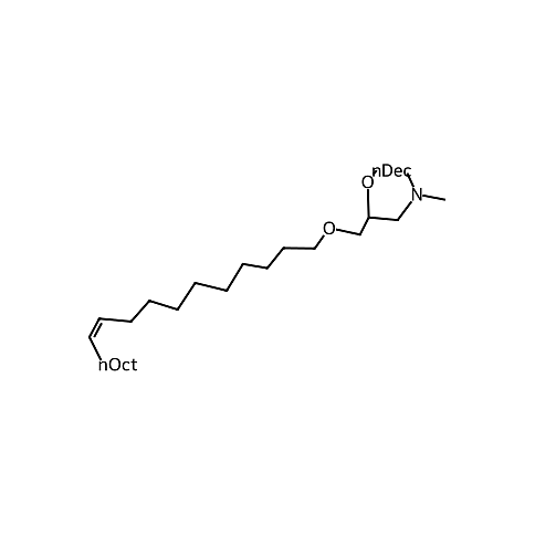 CCCCCCCC/C=C\CCCCCCCCCOCC(CN(C)C)OCCCCCCCCCC